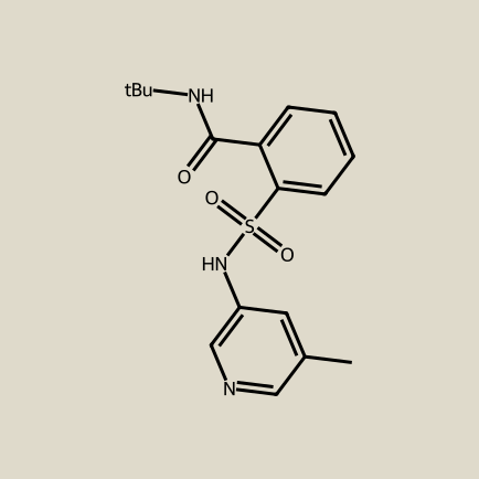 Cc1cncc(NS(=O)(=O)c2ccccc2C(=O)NC(C)(C)C)c1